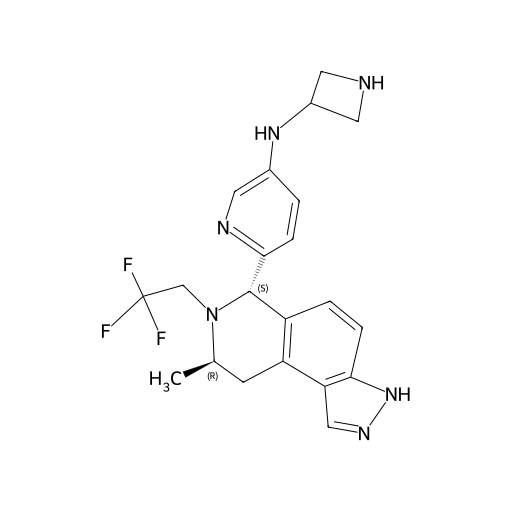 C[C@@H]1Cc2c(ccc3[nH]ncc23)[C@@H](c2ccc(NC3CNC3)cn2)N1CC(F)(F)F